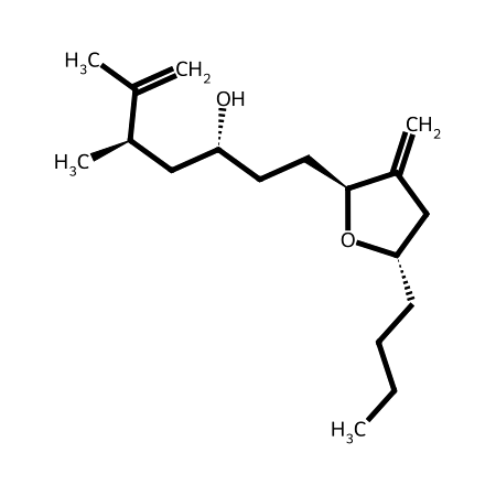 C=C(C)[C@H](C)C[C@H](O)CC[C@@H]1O[C@@H](CCCC)CC1=C